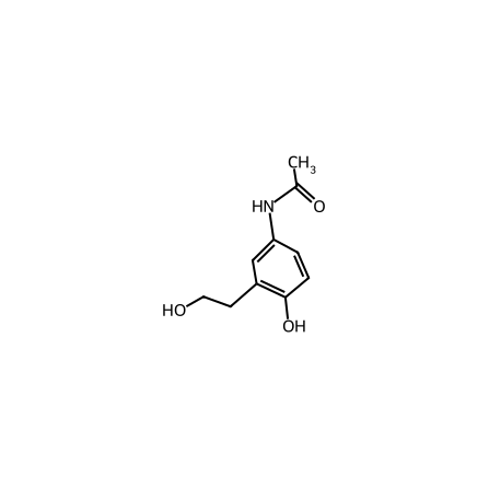 CC(=O)Nc1ccc(O)c(CCO)c1